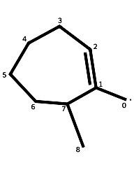 [CH2]C1=CCCCCC1C